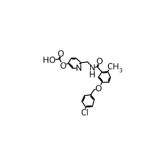 Cc1ccc(OCc2ccc(Cl)cc2)cc1C(=O)NCc1ccc(OC(=O)O)cn1